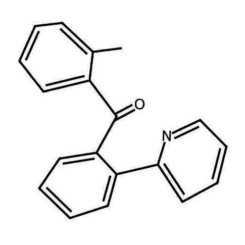 Cc1ccccc1C(=O)c1ccccc1-c1ccccn1